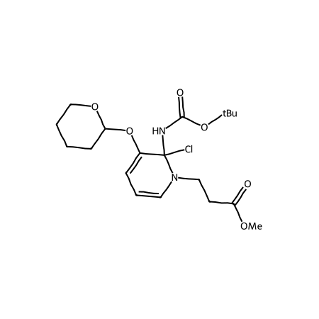 COC(=O)CCN1C=CC=C(OC2CCCCO2)C1(Cl)NC(=O)OC(C)(C)C